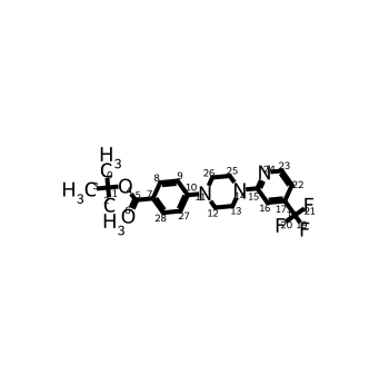 CC(C)(C)OC(=O)c1ccc(N2CCN(c3cc(C(F)(F)F)ccn3)CC2)cc1